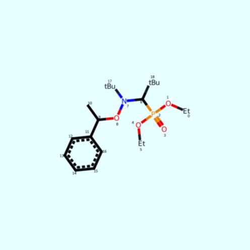 CCOP(=O)(OCC)C(N(OC(C)c1ccccc1)C(C)(C)C)C(C)(C)C